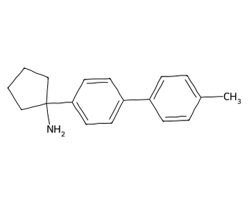 Cc1ccc(-c2ccc(C3(N)CCCC3)cc2)cc1